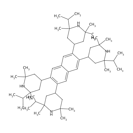 CC(C)C1(C)CC(c2cc3cc(C4CC(C)(C)NC(C)(C(C)C)C4)c(C4CC(C)(C)NC(C)(C(C)C)C4)cc3cc2C2CC(C)(C)NC(C)(C(C)C)C2)CC(C)(C)N1